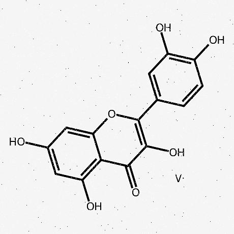 O=c1c(O)c(-c2ccc(O)c(O)c2)oc2cc(O)cc(O)c12.[V]